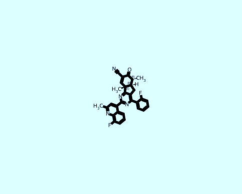 Cc1cc(-c2nc(-c3ccccc3F)c3c(n2)[C@]2(C)C=C(C#N)C(=O)[C@H](C)[C@H]2C3)c2cccc(F)c2n1